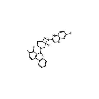 Cc1ccc(-c2ccccc2)c(C(=O)N2CCC3CN(c4cnc5cc(F)ccc5n4)[C@@H]3C2)c1F